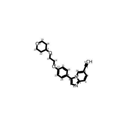 C#Cc1ccc2ncc(-c3ccc(OCCOC4CCOCC4)cc3)n2c1